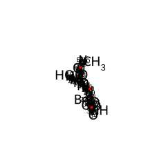 Cc1cc(-c2nc(C(=O)Nc3cc4oc(N5CCN(Cc6cc(Br)c7c(c6)C(=O)N(C6CCC(=O)NC6=O)C7=O)CC5)nc4nc3N3CC[C@@H](O)C3)co2)ccn1